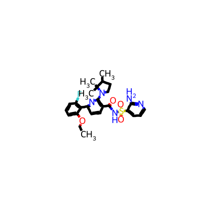 CCOc1cccc(F)c1-c1ccc(C(=O)NS(=O)(=O)c2cccnc2N)c(N2CCC(C)C2(C)C)n1